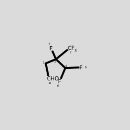 O=CCC(F)(C(F)F)C(F)(F)F